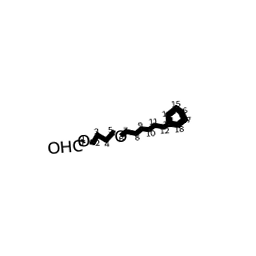 O=COCCCCOCCCCCCc1ccccc1